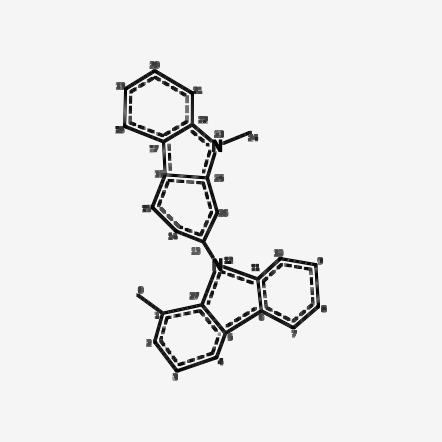 Cc1cccc2c3ccccc3n(-c3ccc4c5ccccc5n(C)c4c3)c12